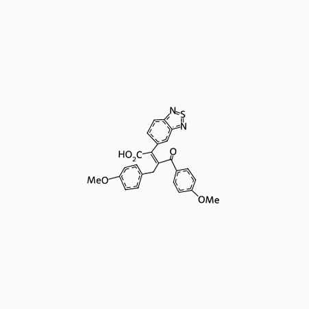 COc1ccc(CC(C(=O)c2ccc(OC)cc2)=C(C(=O)O)c2ccc3nsnc3c2)cc1